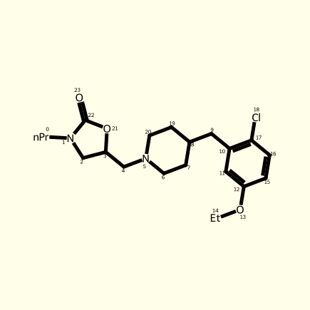 CCCN1CC(CN2CCC(Cc3cc(OCC)ccc3Cl)CC2)OC1=O